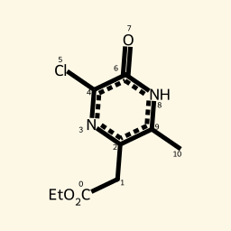 CCOC(=O)Cc1nc(Cl)c(=O)[nH]c1C